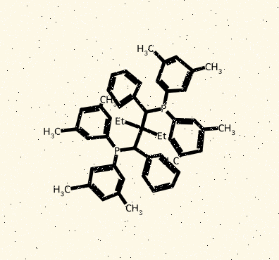 CCC(CC)(C(c1ccccc1)P(c1cc(C)cc(C)c1)c1cc(C)cc(C)c1)C(c1ccccc1)P(c1cc(C)cc(C)c1)c1cc(C)cc(C)c1